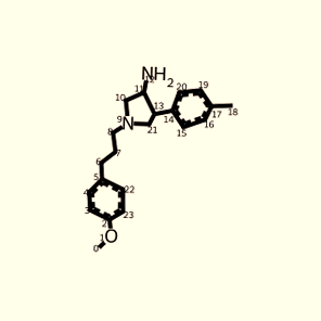 COc1ccc(CCCN2CC(N)C(c3ccc(C)cc3)C2)cc1